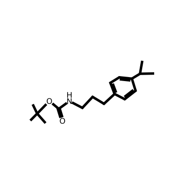 CC(C)c1ccc(CCCNC(=O)OC(C)(C)C)cc1